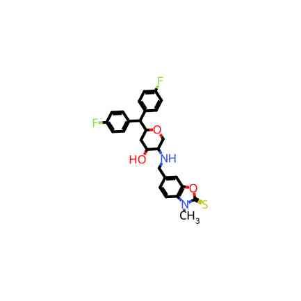 Cn1c(=S)oc2cc(CNC3COC(C(c4ccc(F)cc4)c4ccc(F)cc4)CC3O)ccc21